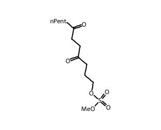 CCCCCC(=O)CCC(=O)CCCOS(=O)(=O)OC